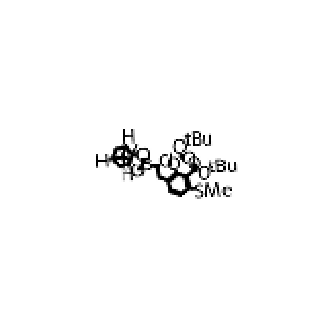 CSc1ccc(CC(Cl)B2O[C@@H]3C[C@@H]4C[C@@H](C4(C)C)[C@]3(C)O2)c(OC(=O)OC(C)(C)C)c1C(=O)OC(C)(C)C